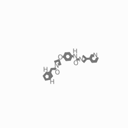 O=C(CC1C[C@@H]2CC[C@H]1C2)N1CC(Oc2ccc(NC(=O)N3CC(c4cccnc4)C3)cc2)C1